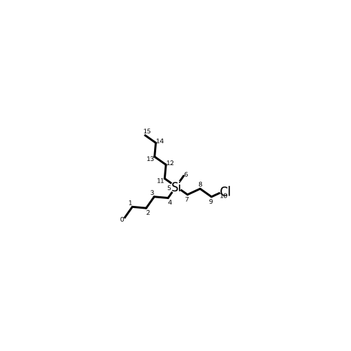 CCCCC[Si](C)(CCCCl)CCCCC